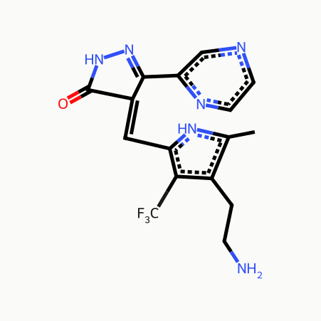 Cc1[nH]c(/C=C2/C(=O)NN=C2c2cnccn2)c(C(F)(F)F)c1CCN